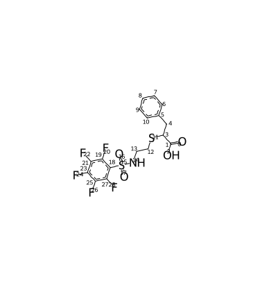 O=C(O)C(Cc1ccccc1)SCCNS(=O)(=O)c1c(F)c(F)c(F)c(F)c1F